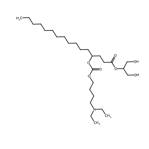 CCCCCCCCCCCCC(CCC(=O)OC(CO)CO)OC(=O)OCCCCN(CC)CC